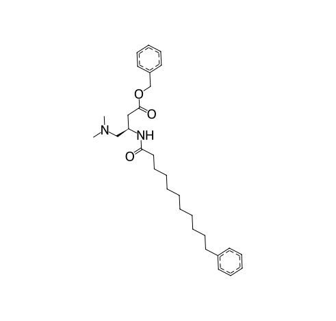 CN(C)C[C@@H](CC(=O)OCc1ccccc1)NC(=O)CCCCCCCCCCc1ccccc1